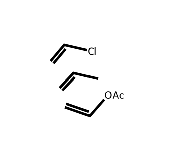 C=CC.C=CCl.C=COC(C)=O